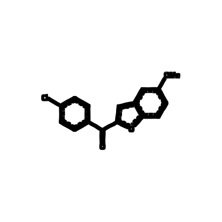 COc1ccc2oc(C(=O)c3ccc(Cl)cc3)cc2c1